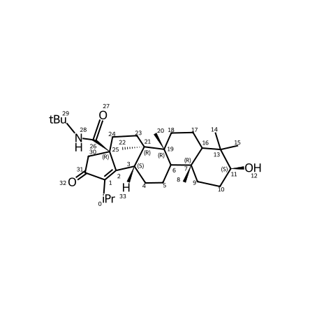 CC(C)C1=C2[C@H]3CCC4[C@@]5(C)CC[C@H](O)C(C)(C)C5CC[C@@]4(C)[C@]3(C)CC[C@@]2(C(=O)NC(C)(C)C)CC1=O